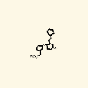 CCOC(=O)Cc1cccc(Oc2ccc(Br)cc2CSc2ccccc2)c1